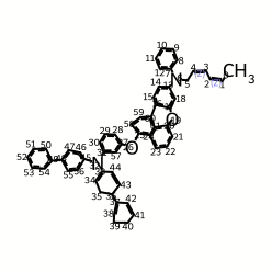 C/C=C\C=C/CN(c1ccccc1)c1ccc2c(c1)Oc1cccc3c(Oc4cccc(N(C5=CCC(C6=CCCC=C6)C=C5)c5ccc(-c6ccccc6)cc5)c4)ccc-2c13